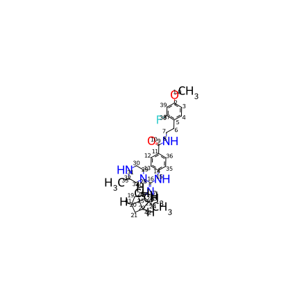 COc1ccc(CCNC(=O)c2ccc(N/C(=N/[C@H]3C[C@H]4C[C@@H]([C@@H]3C)C4(C)C)N3CCN[C@H](C)C3)cc2)c(F)c1